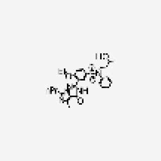 CCCc1nc(C)c2c(=O)[nH]c(-c3cc(S(=O)(=O)N(CCC(C)O)c4ccccc4)ccc3OCC)nn12